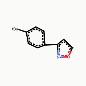 CC(C)(C)c1ccc(-c2c[c]on2)cc1